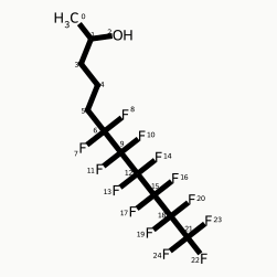 CC(O)CCCC(F)(F)C(F)(F)C(F)(F)C(F)(F)C(F)(F)C(F)(F)F